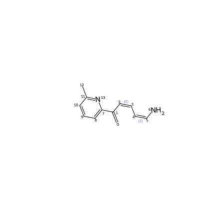 C=C(/C=C\C=C/N)c1cccc(C)n1